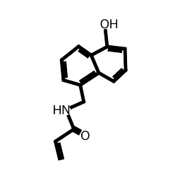 C=CC(=O)NCc1cccc2c(O)cccc12